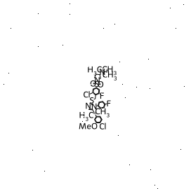 COc1cc(C(C)(C)c2cnc(SCc3c(F)cc(S(=O)(=O)N4CC[C@@H]([N+](C)(C)C)C4)cc3Cl)n2-c2ccc(F)cc2)ccc1Cl